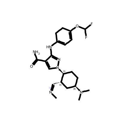 C/N=C\[C@H]1C[C@H](N(C)C)CC[C@@H]1n1cc(C(N)=O)c(NC2=CC=C(OC(F)F)CC2)n1